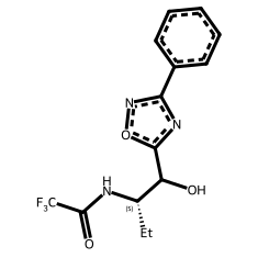 CC[C@H](NC(=O)C(F)(F)F)C(O)c1nc(-c2ccccc2)no1